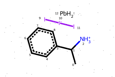 CC([NH3+])c1ccccc1.I[I-]I.[PbH2]